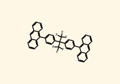 FC(F)(F)C(c1ccc(-c2c3ccccc3cc3ccccc23)cc1)(c1ccc(-c2c3ccccc3cc3ccccc23)cc1)C(F)(F)F